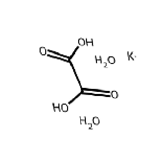 O.O.O=C(O)C(=O)O.[K]